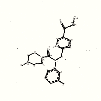 Cc1cccc(N(Cc2ccc(C(=O)NN)cn2)C(=O)N2CCN(C)CC2)c1